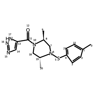 Cc1ccc(SN2C[C@H](C)N(C(=O)c3cnn[nH]3)C[C@H]2C)cc1